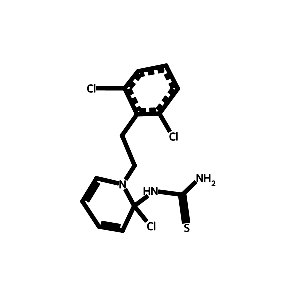 NC(=S)NC1(Cl)C=CC=CN1CCc1c(Cl)cccc1Cl